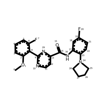 COc1cccc(F)c1-c1nccc(C(=O)Nc2cc(F)ccc2N2CCCC2)n1